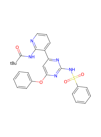 CC(C)(C)C(=O)Nc1ncccc1-c1cc(Oc2ccccc2)nc(NS(=O)(=O)c2ccccc2)n1